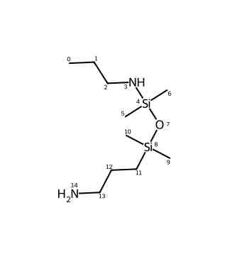 CCCN[Si](C)(C)O[Si](C)(C)CCCN